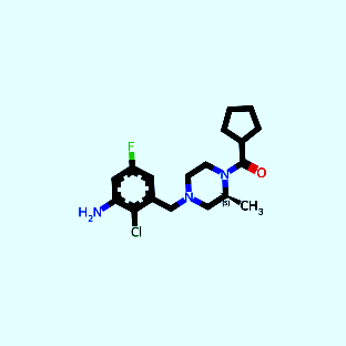 C[C@H]1CN(Cc2cc(F)cc(N)c2Cl)CCN1C(=O)C1CCCC1